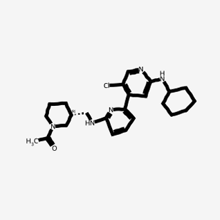 CC(=O)N1CCC[C@H](CNc2cccc(-c3cc(NC4CCCCC4)ncc3Cl)n2)C1